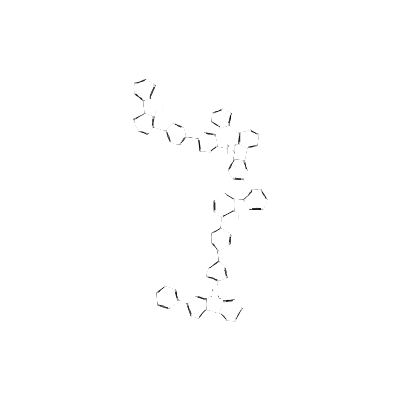 c1ccc(-c2ccc3c4ccccc4n(-c4ccc(-c5ccc(-c6cccc7c6oc6cccc(-c8ccc9c(c8)c8cccc(-c%10ccccc%10)c8n9-c8ccc(-c9ccc(-c%10cccc%11c%10oc%10ccccc%10%11)cc9)cc8)c67)cc5)cc4)c3c2)cc1